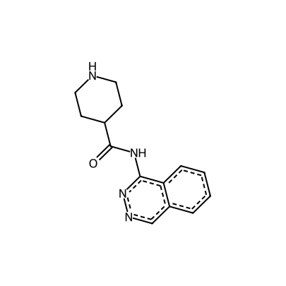 O=C(Nc1nncc2ccccc12)C1CCNCC1